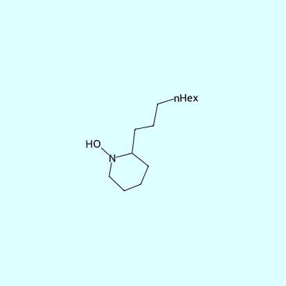 CCCCCCCCCC1CCCCN1O